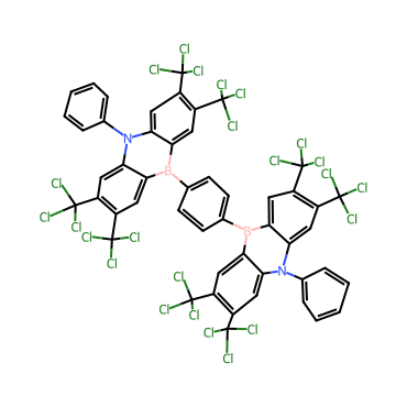 ClC(Cl)(Cl)c1cc2c(cc1C(Cl)(Cl)Cl)N(c1ccccc1)c1cc(C(Cl)(Cl)Cl)c(C(Cl)(Cl)Cl)cc1B2c1ccc(B2c3cc(C(Cl)(Cl)Cl)c(C(Cl)(Cl)Cl)cc3N(c3ccccc3)c3cc(C(Cl)(Cl)Cl)c(C(Cl)(Cl)Cl)cc32)cc1